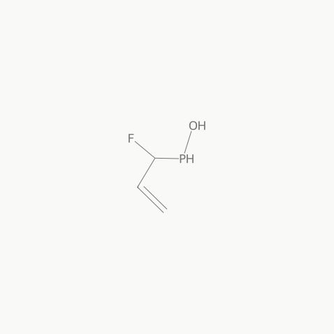 C=CC(F)PO